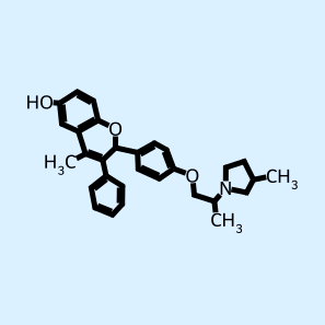 CC1=C(c2ccccc2)C(c2ccc(OCC(C)N3CCC(C)C3)cc2)Oc2ccc(O)cc21